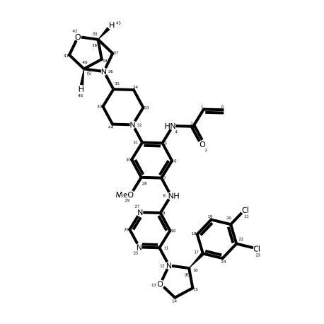 C=CC(=O)Nc1cc(Nc2cc(N3OCC[C@@H]3c3ccc(Cl)c(Cl)c3)ncn2)c(OC)cc1N1CCC(N2C[C@@H]3C[C@H]2CO3)CC1